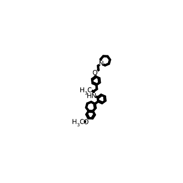 COc1ccc2c(c1)CCCC(c1ccccc1NC(C)Cc1ccc(OCCN3CCCCCC3)cc1)=C2